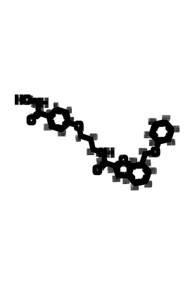 O=C(NO)c1ccc(OCCCNC(=O)c2cc3cccc(COc4ccccc4)c3o2)cc1